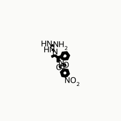 CC(=NNC(=N)N)c1cn(S(=O)(=O)c2ccc([N+](=O)[O-])cc2)c2ccccc12